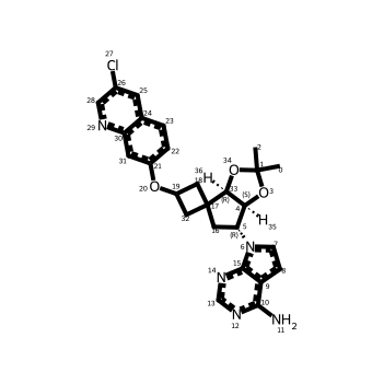 CC1(C)O[C@H]2[C@H](n3ccc4c(N)ncnc43)CC3(CC(Oc4ccc5cc(Cl)cnc5c4)C3)[C@H]2O1